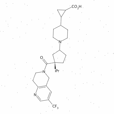 CC(C)[C@]1(C(=O)N2CCc3ncc(C(F)(F)F)cc3C2)CCC(N2CCC(C3CC3C(=O)O)CC2)C1